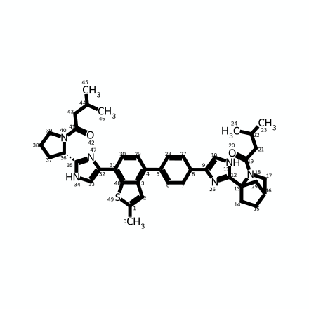 Cc1cc2c(C3=CCC(c4c[nH]c(C56CCC(CN5C(=O)CC(C)C)C6)n4)C=C3)ccc(-c3c[nH]c([C@@H]4CCCN4C(=O)CC(C)C)n3)c2s1